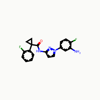 Nc1cc(-n2ccc(NC(=O)C3(c4ccccc4F)CC3)n2)ccc1F